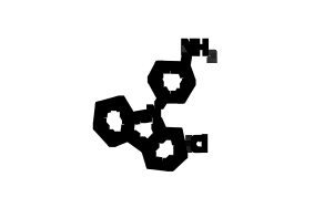 Cl.Nc1ccc(-n2c3ccccc3c3ccccc32)cc1